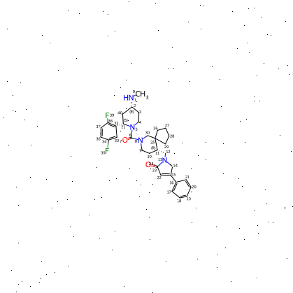 CN[C@@H]1CCN(C(=O)N2CC[C@@H](CN3CC(c4ccccc4)=CC3=O)C3(CCCC3)C2)[C@H](c2cc(F)ccc2F)C1